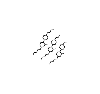 CCCCCC1CCC(C2CCC(CC)CC2)C(C)C1.CCCCCC1CCC(C2CCC(CCC)CC2)C(C)C1.CCCCCC1CCC(C2CCC(CCCC)CC2)C(C)C1